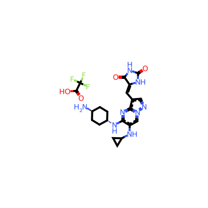 N[C@H]1CC[C@H](Nc2nc3c(/C=C4\NC(=O)NC4=O)cnn3cc2NC2CC2)CC1.O=C(O)C(F)(F)F